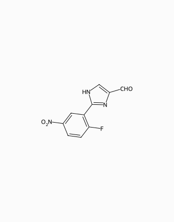 O=Cc1c[nH]c(-c2cc([N+](=O)[O-])ccc2F)n1